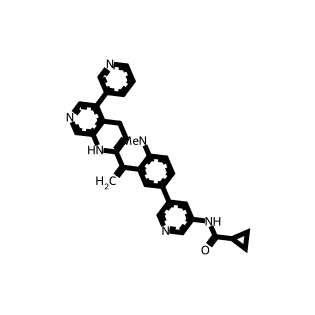 C=C(C1=CCc2c(cncc2-c2cccnc2)N1)c1cc(-c2cncc(NC(=O)C3CC3)c2)ccc1NC